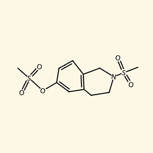 CS(=O)(=O)Oc1ccc2c(c1)CCN(S(C)(=O)=O)C2